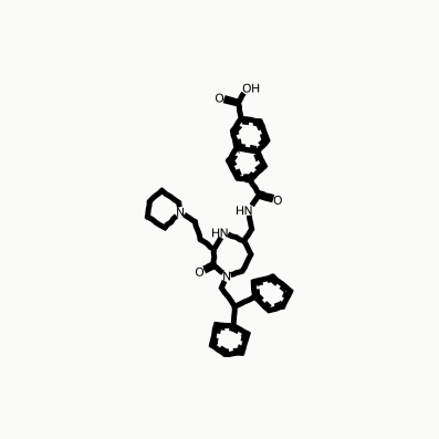 O=C(O)c1ccc2cc(C(=O)NCC3CCN(CC(c4ccccc4)c4ccccc4)C(=O)C(CCN4CCCCC4)N3)ccc2c1